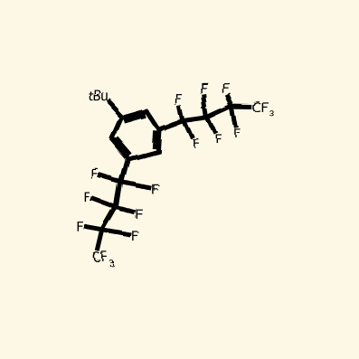 CC(C)(C)c1cc(C(F)(F)C(F)(F)C(F)(F)C(F)(F)F)cc(C(F)(F)C(F)(F)C(F)(F)C(F)(F)F)c1